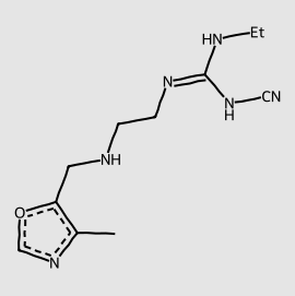 CCN/C(=N/CCNCc1ocnc1C)NC#N